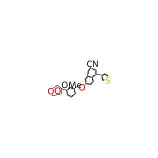 COC1(c2cccc(COc3ccc4c(-c5ccsc5)cc(C#N)cc4c3)c2)CC2COC(C1)O2